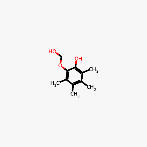 Cc1c(C)c(C)c(OCO)c(O)c1C